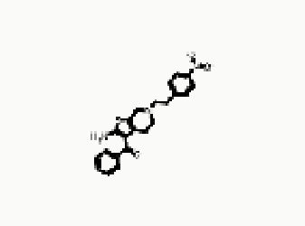 Nc1sc2c(c1C(=O)c1ccccc1)CCN(CCc1ccc([N+](=O)[O-])cc1)C2